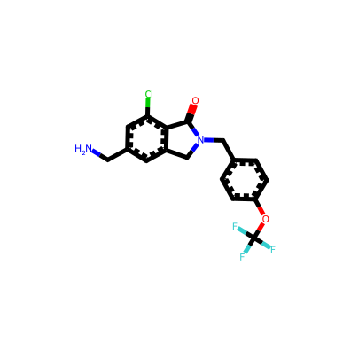 NCc1cc(Cl)c2c(c1)CN(Cc1ccc(OC(F)(F)F)cc1)C2=O